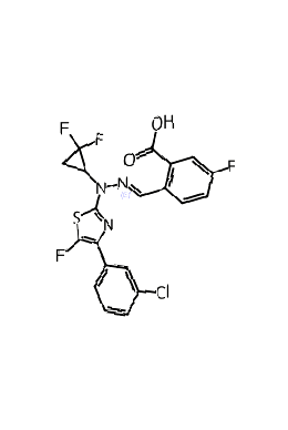 O=C(O)c1cc(F)ccc1/C=N/N(c1nc(-c2cccc(Cl)c2)c(F)s1)C1CC1(F)F